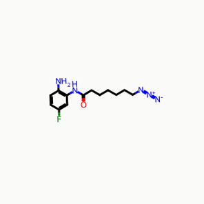 [N-]=[N+]=NCCCCCCC(=O)Nc1cc(F)ccc1N